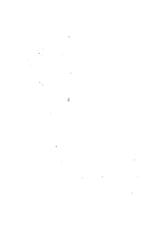 CCN(CCCc1ccccc1)CCNc1cc(=O)n(C)c(=O)n1C